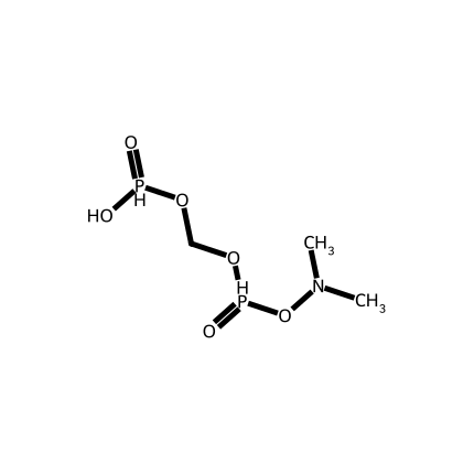 CN(C)O[PH](=O)OCO[PH](=O)O